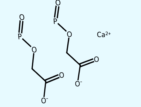 O=POCC(=O)[O-].O=POCC(=O)[O-].[Ca+2]